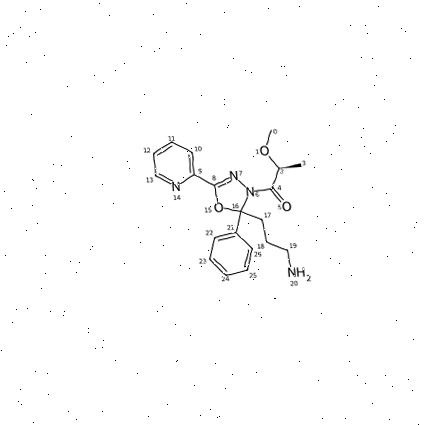 CO[C@@H](C)C(=O)N1N=C(c2ccccn2)OC1(CCCN)c1ccccc1